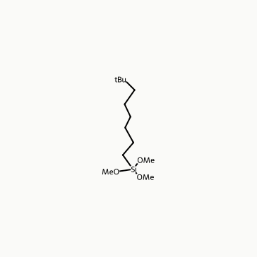 CO[Si](CCCCCCC(C)(C)C)(OC)OC